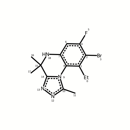 CCc1c(Br)c(F)cc2c1-n1c(C)nnc1C(C)(C)N2